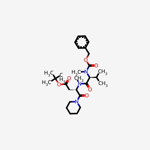 CC(C)[C@@H](C(=O)N(C)[C@@H](CC(=O)OC(C)(C)C)C(=O)N1CCCCC1)N(C)C(=O)OCc1ccccc1